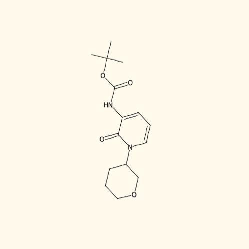 CC(C)(C)OC(=O)Nc1cccn(C2CCCOC2)c1=O